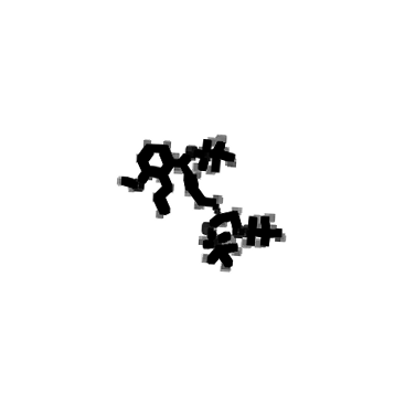 C=CCc1c(OC)cccc1[C@H](C#CCC[C@H](CO[Si](C)(C)C(C)(C)C)O[Si](C)(C)C(C)(C)C)O[Si](C)(C)C(C)(C)C